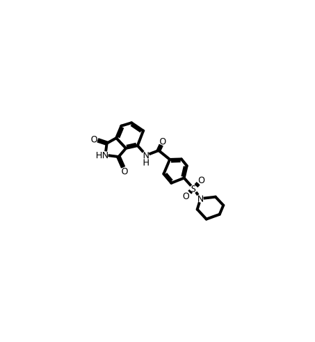 O=C(Nc1cccc2c1C(=O)NC2=O)c1ccc(S(=O)(=O)N2CCCCC2)cc1